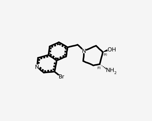 N[C@@H]1CCN(Cc2ccc3cncc(Br)c3c2)C[C@H]1O